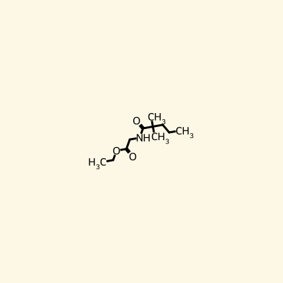 CCCC(C)(C)C(=O)NCC(=O)OCC